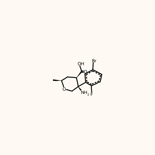 C[C@H]1C[C@@H](C(=O)O)[C@](N)(c2cc(Br)ccc2F)CO1